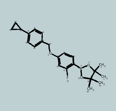 CC1(C)OB(c2ccc(OCc3ccc(C4CC4)cc3)cc2F)OC1(C)C